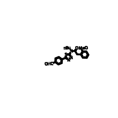 CCCCN(C(=O)Cc1ccccc1OC)c1nnc(-c2ccc(C=O)cc2)s1